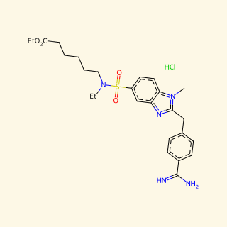 CCOC(=O)CCCCCN(CC)S(=O)(=O)c1ccc2c(c1)nc(Cc1ccc(C(=N)N)cc1)n2C.Cl